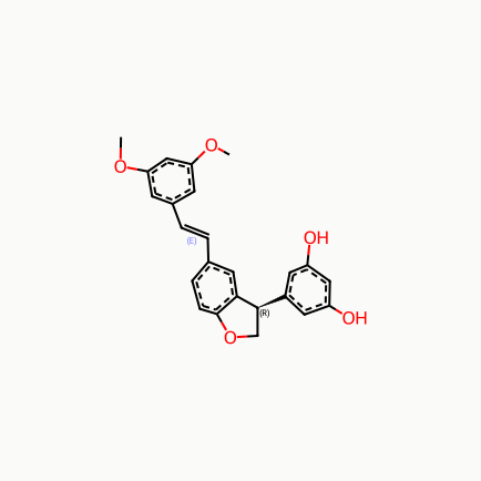 COc1cc(/C=C/c2ccc3c(c2)[C@@H](c2cc(O)cc(O)c2)CO3)cc(OC)c1